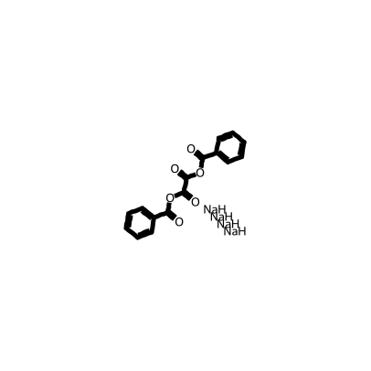 O=C(OC(=O)c1ccccc1)C(=O)OC(=O)c1ccccc1.[NaH].[NaH].[NaH].[NaH]